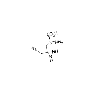 C#CCC1(C[C@H](N)C(=O)O)NN1